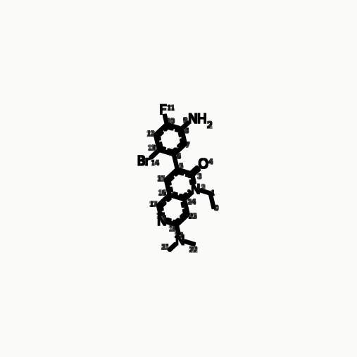 CCn1c(=O)c(-c2cc(N)c(F)cc2Br)cc2cnc(N(C)C)cc21